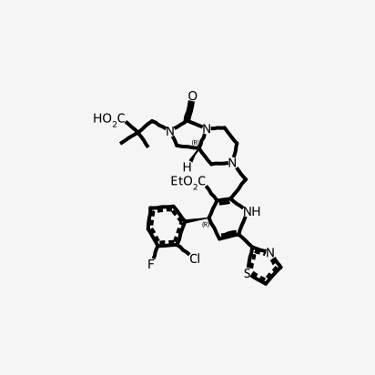 CCOC(=O)C1=C(CN2CCN3C(=O)N(CC(C)(C)C(=O)O)C[C@H]3C2)NC(c2nccs2)=C[C@H]1c1cccc(F)c1Cl